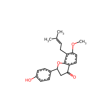 COc1ccc2c(c1CC=C(C)C)OC(c1ccc(O)cc1)CC2=O